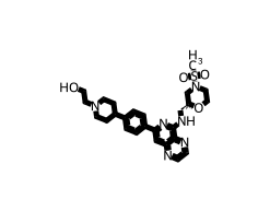 CS(=O)(=O)N1CCO[C@H](CNc2nc(-c3ccc(C4CCN(CCO)CC4)cc3)cc3nccnc23)C1